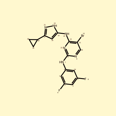 Fc1cc(F)cc(Nc2ncc(Br)c(Nc3cc(C4CC4)n[nH]3)n2)c1